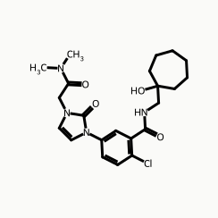 CN(C)C(=O)Cn1ccn(-c2ccc(Cl)c(C(=O)NCC3(O)CCCCCC3)c2)c1=O